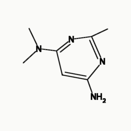 Cc1nc(N)cc(N(C)C)n1